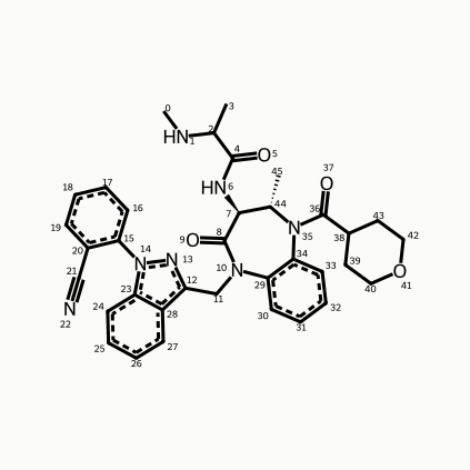 CNC(C)C(=O)N[C@@H]1C(=O)N(Cc2nn(-c3ccccc3C#N)c3ccccc23)c2ccccc2N(C(=O)C2CCOCC2)[C@H]1C